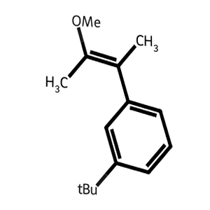 COC(C)=C(C)c1cccc(C(C)(C)C)c1